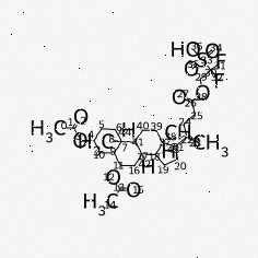 CC(=O)O[C@@H]1CC[C@@]2(C)C(C1)[C@@H](OC(C)=O)C[C@H]1[C@@H]3CC[C@H]([C@H](C)CCC(=O)OCC(F)(F)S(=O)(=O)O)[C@@]3(C)CC[C@@H]12